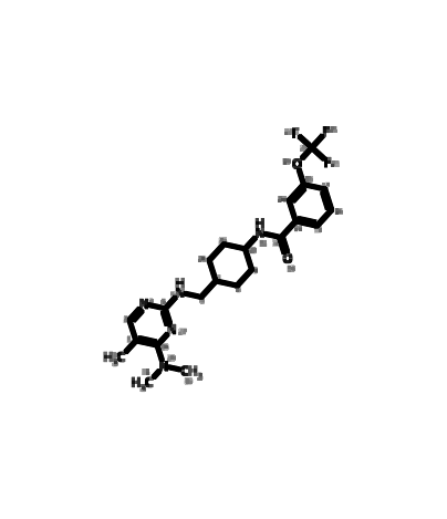 Cc1cnc(NCC2CCC(NC(=O)c3cccc(OC(F)(F)F)c3)CC2)nc1N(C)C